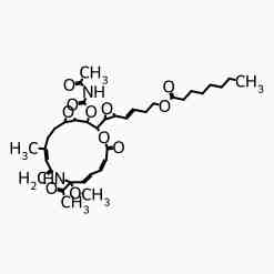 C=C1/C=C(/C)CCC2OC2C(OC(=O)NC(C)=O)C(C2OC2/C=C/CCOC(=O)CCCCCCC)OC(=O)/C=C\C=C\C(OC)(C(C)=O)N1